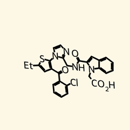 CCc1cc(C(=O)c2ccccc2Cl)c(-n2ccnc2CNC(=O)c2cc3ccccc3n2CC(=O)O)s1